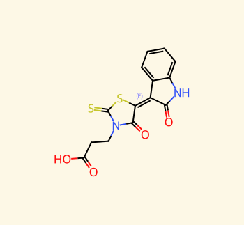 O=C(O)CCN1C(=O)/C(=C2\C(=O)Nc3ccccc32)SC1=S